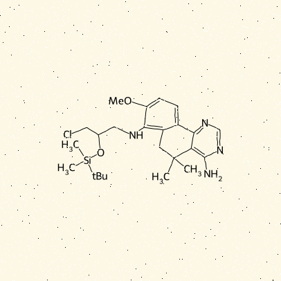 COc1ccc2c(c1NCC(CCl)O[Si](C)(C)C(C)(C)C)CC(C)(C)c1c(N)ncnc1-2